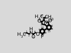 CCCNC(=O)COc1ccc(-c2cccc3c2C2CC(=O)C(C(C)C)N2C3=O)cc1F